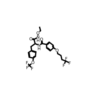 CCONC(=O)C(Cc1ccc(OC(F)(F)F)cc1)NC(=O)c1ccc(OCCCC(F)(F)F)cc1